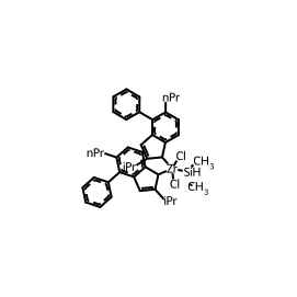 CCCc1ccc2c(c1-c1ccccc1)C=C(C(C)C)[CH]2[Zr]([Cl])([Cl])([CH]1C(C(C)C)=Cc2c1ccc(CCC)c2-c1ccccc1)[SiH](C)C